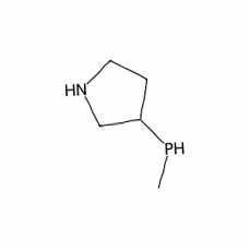 CPC1CCNC1